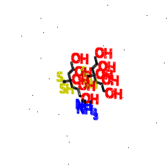 N.N.OCC(O)CC(O)(CC(O)CO)C(=S)S.OCC(O)CC(O)(CC(O)CO)C(=S)S